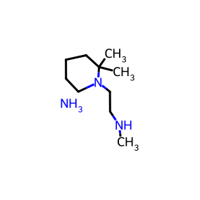 CNCCN1CCCCC1(C)C.N